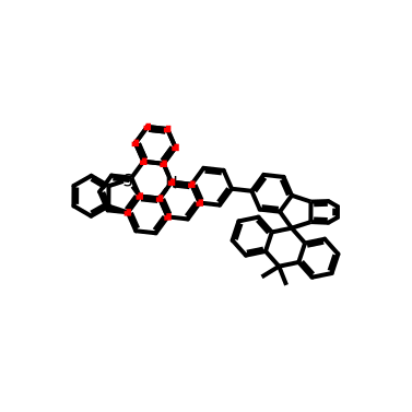 CC1(C)c2ccccc2C2(c3ccccc3-c3ccc(-c4ccc(N(c5ccccc5-c5ccccc5-c5ccccc5-c5ccccc5)c5cccc6c5sc5ccccc56)cc4)cc32)c2ccccc21